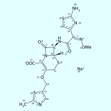 CO/N=C(\C(=O)N[C@@H]1C(=O)N2C(C(=O)[O-])=C(OCc3cnc(C)s3)CS[C@@H]12)c1csc(N)n1.[Na+]